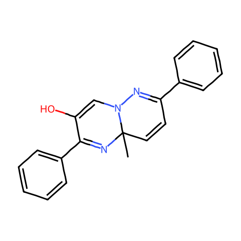 CC12C=CC(c3ccccc3)=NN1C=C(O)C(c1ccccc1)=N2